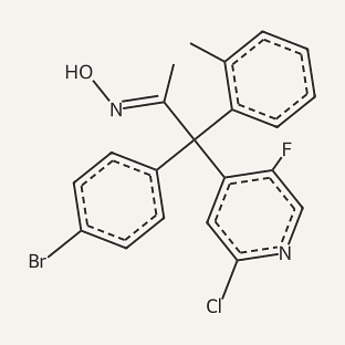 CC(=NO)C(c1ccc(Br)cc1)(c1ccccc1C)c1cc(Cl)ncc1F